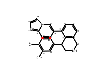 Clc1ccc(C2CNCc3cccc(-c4ccc5ncnn5c4)c32)cc1Cl